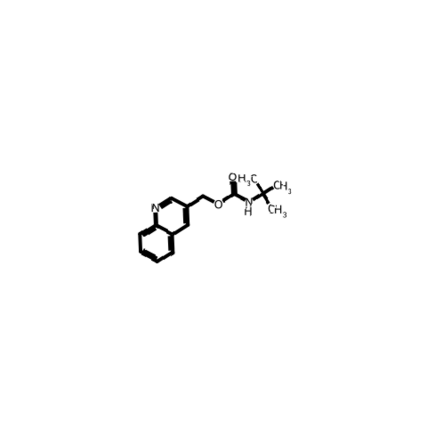 CC(C)(C)NC(=O)OCc1cnc2ccccc2c1